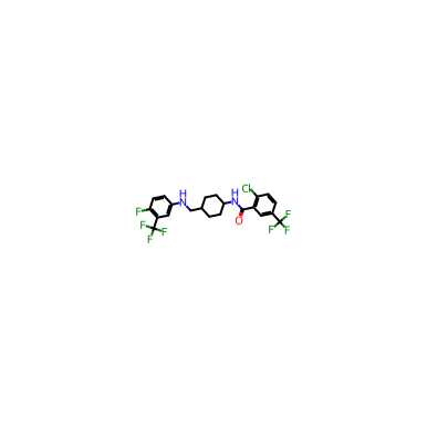 O=C(NC1CCC(CNc2ccc(F)c(C(F)(F)F)c2)CC1)c1cc(C(F)(F)F)ccc1Cl